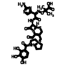 CC(C)(O/N=C(\C(=O)N[C@@H]1C(=O)N2C(C=O)=C(C[N+]3(CCNC(=O)c4ccc(O)c(O)c4O)CCCC3)CS[C@H]12)c1csc(N)n1)C(=O)O